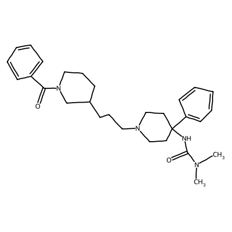 CN(C)C(=O)NC1(c2ccccc2)CCN(CCCC2CCCN(C(=O)c3ccccc3)C2)CC1